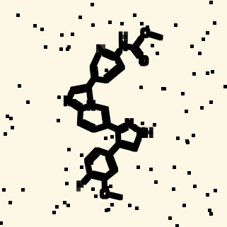 COC(=O)Nc1ccc(-c2cnc3ccc(-c4n[nH]cc4-c4ccc(F)c(OC)c4)cn23)cn1